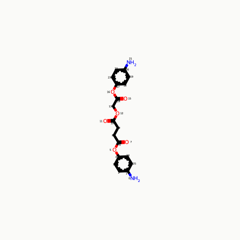 Nc1ccc(OC(=O)CCC(=O)OCC(=O)Oc2ccc(N)cc2)cc1